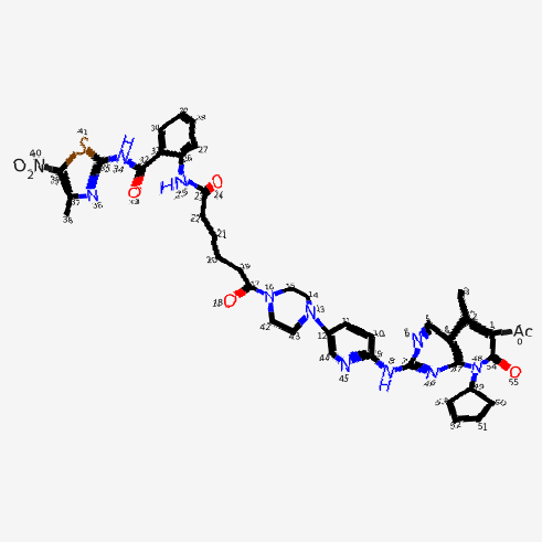 CC(=O)c1c(C)c2cnc(Nc3ccc(N4CCN(C(=O)CCCCC(=O)Nc5ccccc5C(=O)Nc5nc(C)c([N+](=O)[O-])s5)CC4)cn3)nc2n(C2CCCC2)c1=O